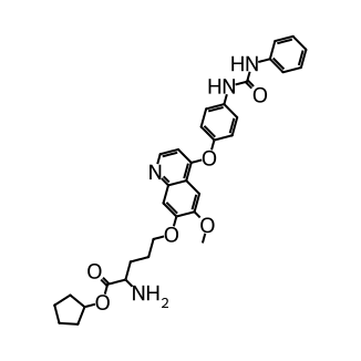 COc1cc2c(Oc3ccc(NC(=O)Nc4ccccc4)cc3)ccnc2cc1OCCCC(N)C(=O)OC1CCCC1